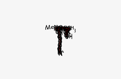 CC[C@@]1(O)C(=O)OCc2c1cc1n(c2=O)Cc2c-1nc1cc(F)c(C)c3c1c2[C@@H](NC(=O)OCc1ccc(NC(=O)[C@H](CCCCNC)NC(=O)[C@H](Cc2ccccc2)NC(=O)CCOCCOCCOCCOCCOCCOCCOCCOCCOCCN=[N+]=[N-])cc1)CC3